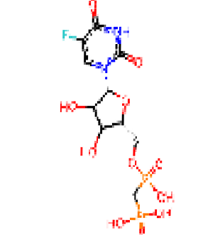 O=c1[nH]c(=O)n([C@@H]2O[C@H](COP(=O)(O)CP(=O)(O)O)C(O)C2O)cc1F